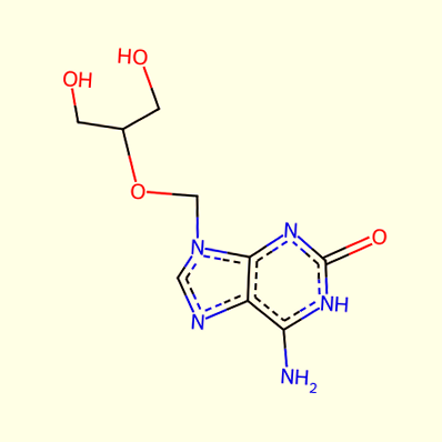 Nc1[nH]c(=O)nc2c1ncn2COC(CO)CO